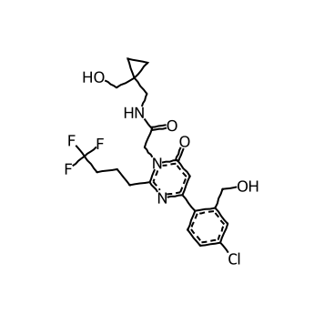 O=C(Cn1c(CCCC(F)(F)F)nc(-c2ccc(Cl)cc2CO)cc1=O)NCC1(CO)CC1